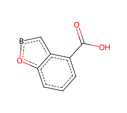 O=C(O)c1cccc2obcc12